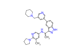 C=C(Nc1cnc(N2CCCC2)c(C)c1)c1n[nH]c2ccc(-c3cncc(CN4CCCCC4)c3)cc12